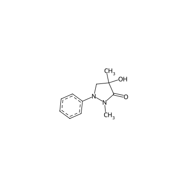 CN1C(=O)C(C)(O)CN1c1ccccc1